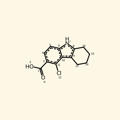 O=C(O)c1ccc2[nH]c3c(c2c1Cl)CCCC3